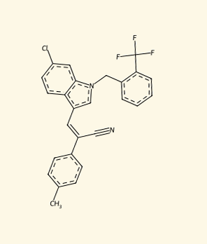 Cc1ccc(/C(C#N)=C/c2cn(Cc3ccccc3C(F)(F)F)c3cc(Cl)ccc23)cc1